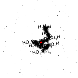 CC(CCN1/C(=C/C=C2\CCCC(/C=C/C3N(CCC(C)S(=O)(=O)O)c4ccc5cc(S(=O)(=O)O)ccc5c4C3(C)C)=C2c2ccc(C(=O)NCCNC(=O)CC[C@H](NC(=O)c3ccc(NCc4cnc5nc(N)[nH]c(=O)c5n4)cc3)C(=O)O)cc2)C(C)(C)c2c1ccc1cc(S(=O)(=O)O)ccc21)S(=O)(=O)O